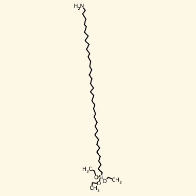 CCO[Si](CCCCCCCCCCCCCCCCCCCCCCCCCCCCCCCCCCCCCCCN)(OCC)OCC